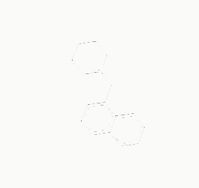 C[C@@H]1CCCN(Cc2cccc3ccccc23)C1